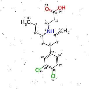 C=CCC(CC(CCC)NCCC(=O)O)c1ccc(Cl)c(Cl)c1